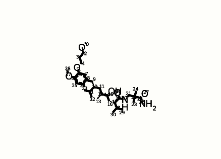 COCCCOc1cc(C[C@@H](C[C@H](C)[C@@H](O)C[C@H](C(=O)NCC(C)(C)C(N)=O)C(C)C)C(C)C)ccc1OC